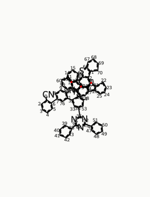 N#Cc1ccccc1-c1ccc(-n2c3ccccc3c3c4sc5ccccc5c4ccc32)c(-c2cc(-c3nc(-c4ccccc4)nc(-c4ccccc4)n3)ccc2-n2c3ccccc3c3c4sc5ccccc5c4ccc32)c1